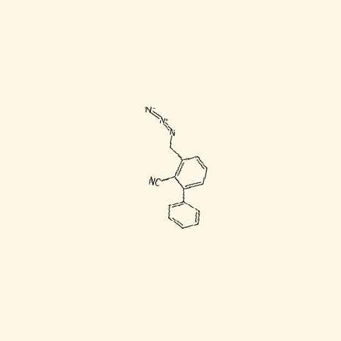 N#Cc1c(CN=[N+]=[N-])cccc1-c1ccccc1